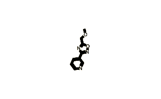 COCc1nc(-c2cccnc2)no1